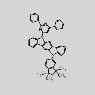 CC1(C)CC(C)(C)c2cc(-n3c4ccccc4c4cc5c(cc43)c3ccccc3n5-c3cc(-c4ccccc4)nc(-c4ccccc4)n3)ccc21